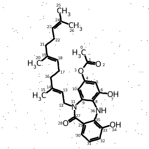 CC(=O)Oc1cc(O)c2c(c1)N(C/C=C(\C)CC/C=C(\C)CCC=C(C)C)C(=O)c1cccc(O)c1N2